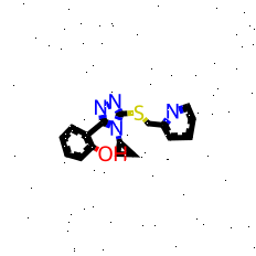 Oc1ccccc1-c1nnc(SCc2ccccn2)n1C1CC1